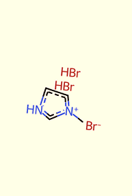 Br.Br.C[n+]1cc[nH]c1.[Br-]